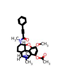 COc1cc(OC(C)=O)c2c3c1O[C@H]1[C@H](N(C)C(=O)C#Cc4ccccc4)CC[C@H]4[C@@H](C2)N(C)CC[C@@]341